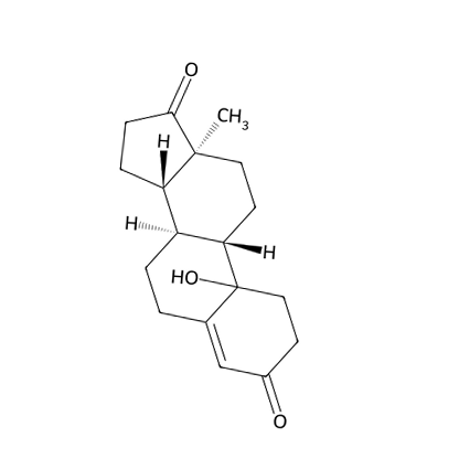 C[C@]12CC[C@H]3[C@@H](CCC4=CC(=O)CCC43O)[C@@H]1CCC2=O